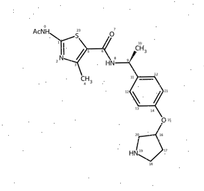 CC(=O)Nc1nc(C)c(C(=O)N[C@@H](C)c2ccc(OC3CCNC3)cc2)s1